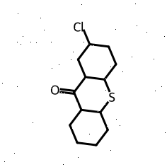 O=C1C2CCCCC2SC2CCC(Cl)CC12